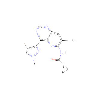 COc1cc2ncnc(-c3nn(C)cc3Br)c2nc1NC(=O)C1CC1